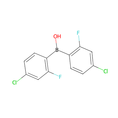 OB(c1ccc(Cl)cc1F)c1ccc(Cl)cc1F